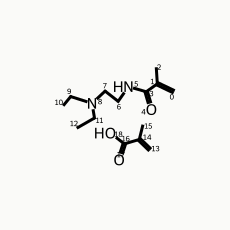 C=C(C)C(=O)NCCN(CC)CC.C=C(C)C(=O)O